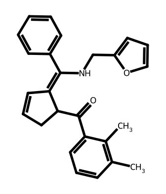 Cc1cccc(C(=O)C2CC=C/C2=C(/NCc2ccco2)c2ccccc2)c1C